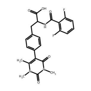 Cc1c(-c2ccc(CC(NC(=O)c3c(F)cccc3F)C(=O)O)cc2)c(=O)n(C)c(=O)n1C